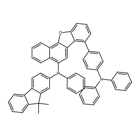 CC1(C)c2ccccc2-c2ccc(N(c3ccccc3)c3cc4c(oc5cccc(-c6ccc(N(c7ccccc7)c7ccccc7)cc6)c54)c4ccccc34)cc21